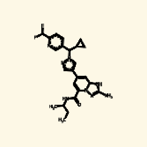 CCC(C)NC(=O)C1=CC(c2cnn(C(c3ccc(C(F)F)nc3)C3CC3)c2)=CC2NC(N)=NN12